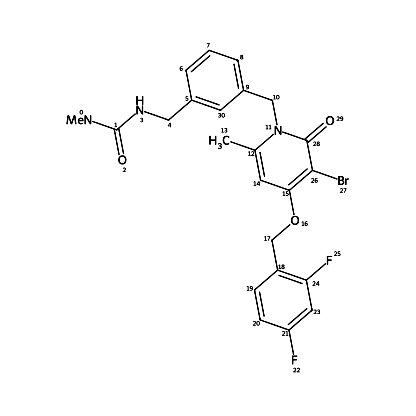 CNC(=O)NCc1cccc(Cn2c(C)cc(OCc3ccc(F)cc3F)c(Br)c2=O)c1